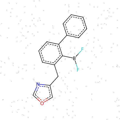 FB(F)c1c(Cc2cocn2)cccc1-c1ccccc1